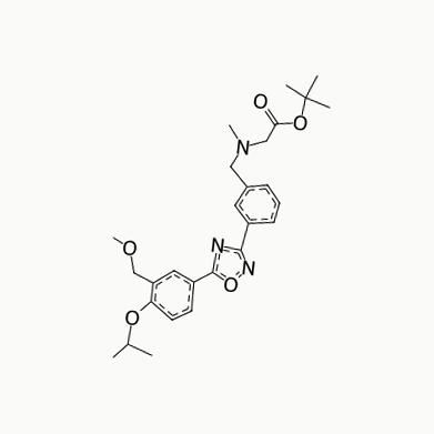 COCc1cc(-c2nc(-c3cccc(CN(C)CC(=O)OC(C)(C)C)c3)no2)ccc1OC(C)C